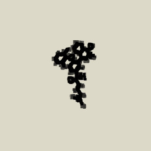 Cc1cccc(C)c1Oc1ccc(NC(=O)/C=C/CN(C)C)cc1-c1cn(C)c(=O)c2ccccc12